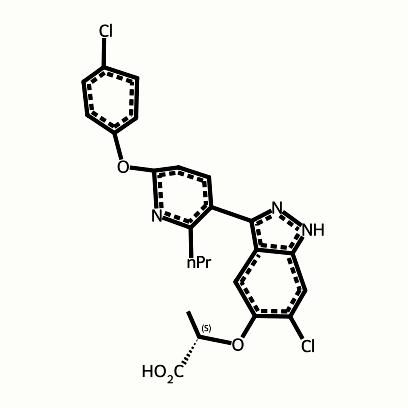 CCCc1nc(Oc2ccc(Cl)cc2)ccc1-c1n[nH]c2cc(Cl)c(O[C@@H](C)C(=O)O)cc12